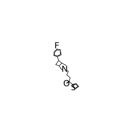 O=C(CCCN1CC2CC(c3ccc(F)cc3)C2C1)c1cccs1